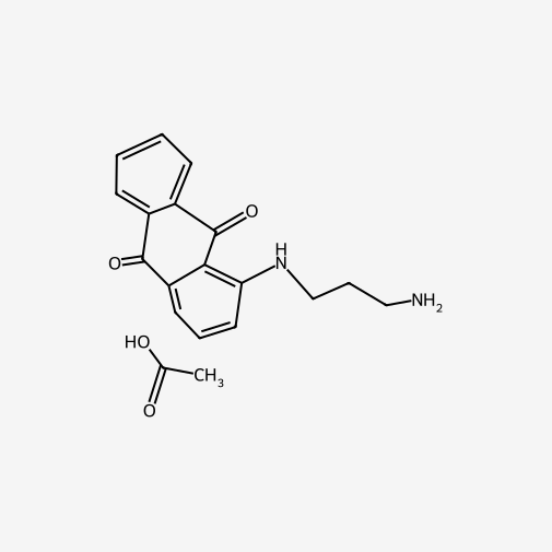 CC(=O)O.NCCCNc1cccc2c1C(=O)c1ccccc1C2=O